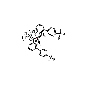 CC1=Cc2c(-c3ccc(C(F)(F)F)cc3)cccc2[CH]1[Zr]([CH3])([CH3])([SiH3])([Cl])([Cl])[CH]1C(C)=Cc2c(-c3ccc(C(F)(F)F)cc3)cccc21